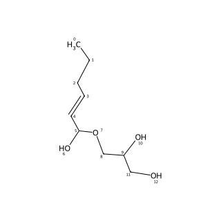 CCCC=CC(O)OCC(O)CO